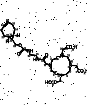 O=C(O)CN1CCN(CC(=O)O)CCN(CC(=O)NCCNC(=O)OC[C@@H]2[C@@H]3CC/C=C\CC[C@@H]32)CCN(CC(=O)O)CC1